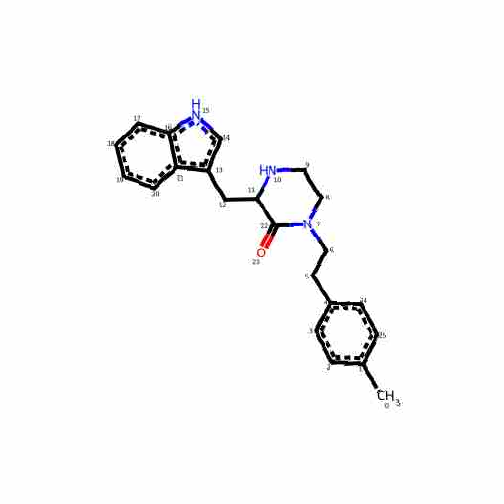 Cc1ccc(CCN2CCNC(Cc3c[nH]c4ccccc34)C2=O)cc1